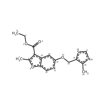 CCOC(=O)c1c(C)oc2cnc(OCc3scnc3C)cc12